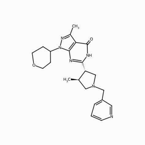 Cc1nn(C2CCOCC2)c2nc([C@@H]3CN(Cc4cccnc4)C[C@H]3C)[nH]c(=O)c12